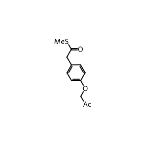 CSC(=O)Cc1ccc(OCC(C)=O)cc1